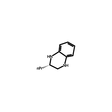 CCC[C@H]1CNc2ccccc2N1